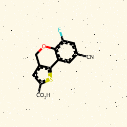 N#Cc1cc(F)c2c(c1)-c1sc(C(=O)O)cc1CO2